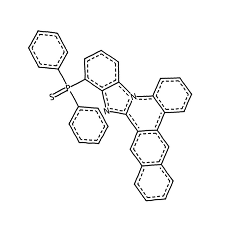 S=P(c1ccccc1)(c1ccccc1)c1cccc2c1nc1c3cc4ccccc4cc3c3ccccc3n21